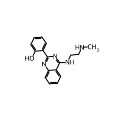 CNCCNc1nc(-c2ccccc2O)nc2ccccc12